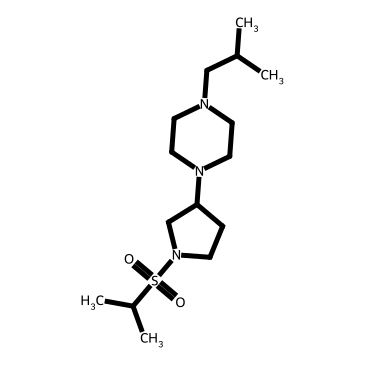 CC(C)CN1CCN(C2CCN(S(=O)(=O)C(C)C)C2)CC1